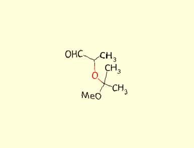 COC(C)(C)OC(C)C=O